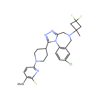 CNc1ccc(N2CCC(c3nnc4n3-c3ccc(Cl)cc3CN(C3(C)CC(F)(F)C3)C4)CC2)nc1F